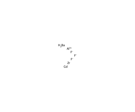 [Al+3].[BaH2].[F-].[F-].[F-].[Gd].[Zr]